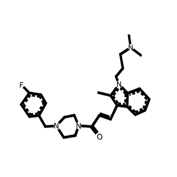 Cc1c(C=CC(=O)N2CCN(Cc3ccc(F)cc3)CC2)c2ccccc2n1CCCN(C)C